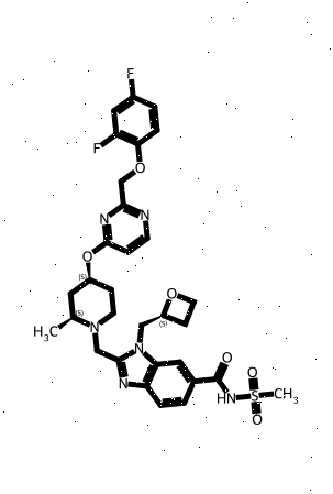 C[C@H]1C[C@@H](Oc2ccnc(COc3ccc(F)cc3F)n2)CCN1Cc1nc2ccc(C(=O)NS(C)(=O)=O)cc2n1C[C@@H]1CCO1